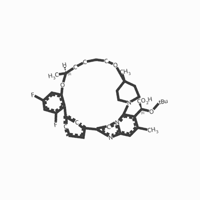 Cc1cc2nc3cn2c(c1[C@H](OC(C)(C)C)C(=O)O)N1CCC(C)(CC1)OCCCC[C@H](C)Oc1cc(F)cc(F)c1-c1cccc-3c1